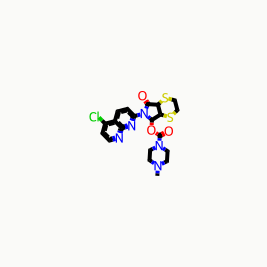 CN1CCN(C(=O)OC2C3SCCSC3C(=O)N2c2ccc3c(Cl)ccnc3n2)CC1